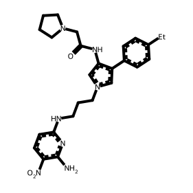 CCc1ccc(-c2cn(CCCNc3ccc([N+](=O)[O-])c(N)n3)cc2NC(=O)CN2CCCC2)cc1